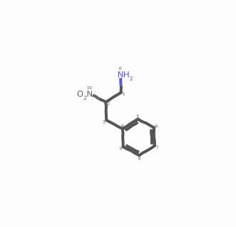 NCC(Cc1ccccc1)[N+](=O)[O-]